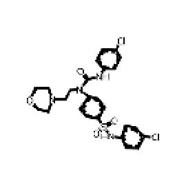 O=C(Nc1ccc(Cl)cc1)N(CCN1CCOCC1)c1ccc(S(=O)(=O)Nc2ccc(Cl)cc2)cc1